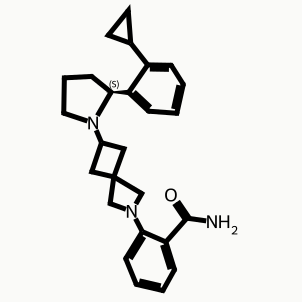 NC(=O)c1ccccc1N1CC2(CC(N3CCC[C@H]3c3ccccc3C3CC3)C2)C1